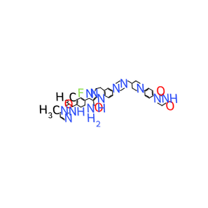 CC1=C(C(=O)Nc2nccc(C)n2)CCC(c2nn3c(c2C(N)=O)Nc2ccc(N4CCN(CC5CCN(c6ccc(N7CCC(=O)NC7=O)cc6)CC5)CC4)cc2CC3)=C1F